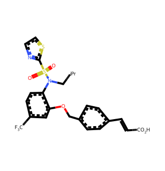 CC(C)CN(c1ccc(C(F)(F)F)cc1OCc1ccc(/C=C/C(=O)O)cc1)S(=O)(=O)c1nccs1